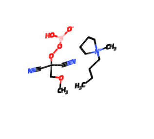 CCCC[N+]1(C)CCCC1.COCC(C#N)(C#N)OOB([O-])O